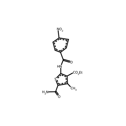 CCOC(=O)c1c(NC(=O)c2ccc([N+](=O)[O-])cc2)sc(C(N)=O)c1C